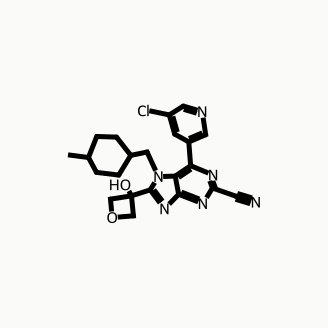 CC1CCC(Cn2c(C3(O)COC3)nc3nc(C#N)nc(-c4cncc(Cl)c4)c32)CC1